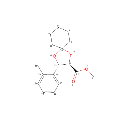 COC(=O)[C@@H]1OC2(CCCCC2)O[C@H]1c1ccccc1C